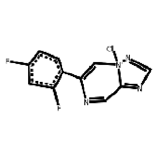 Fc1ccc(C2=C[N+]3(Cl)N=CN=C3C=N2)c(F)c1